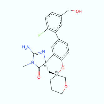 CN1C(=O)[C@@]2(C[C@@]3(CCCOC3)Oc3ccc(-c4cc(CO)ccc4F)cc32)N=C1N